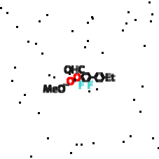 CCc1ccc(-c2cc(C=O)c(OCOCCOC)c(F)c2F)cc1